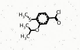 CSc1ccc(C(=O)Cl)cc1OC(C)C